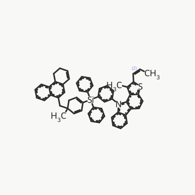 C/C=C\c1sc2ccc3c4ccccc4n(-c4cccc([Si](C5=CCC(C)(Cc6cc7c(c8ccccc68)CCC=C7)C=C5)(c5ccccc5)c5ccccc5)c4)c3c2c1C